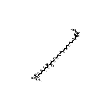 CC(C)(C)n1cc(COCCOCCOCCOCCOCCC(=O)NCCCCCCOP(C)(=O)O)nn1